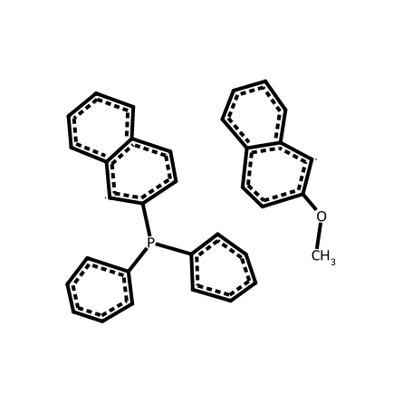 COc1[c]c2ccccc2cc1.[c]1c(P(c2ccccc2)c2ccccc2)ccc2ccccc12